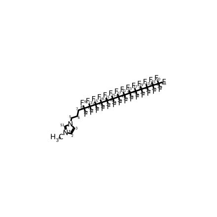 C[n+]1ccn(CCCC(F)(F)C(F)(F)C(F)(F)C(F)(F)C(F)(F)C(F)(F)C(F)(F)C(F)(F)C(F)(F)C(F)(F)C(F)(F)C(F)(F)C(F)(F)C(F)(F)F)c1